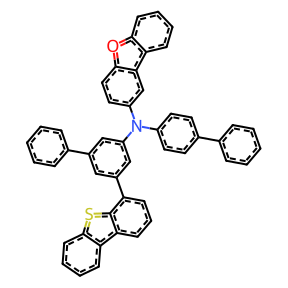 c1ccc(-c2ccc(N(c3cc(-c4ccccc4)cc(-c4cccc5c4sc4ccccc45)c3)c3ccc4oc5ccccc5c4c3)cc2)cc1